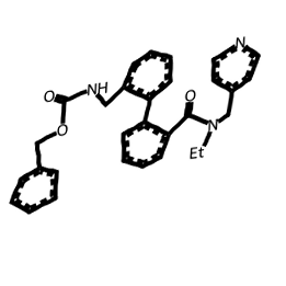 CCN(Cc1ccncc1)C(=O)c1ccccc1-c1ccccc1CNC(=O)OCc1ccccc1